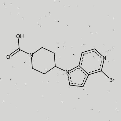 O=C(O)N1CCC(n2ccc3c(Br)nccc32)CC1